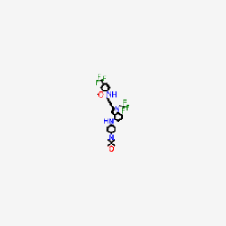 COc1cc(C(F)(F)F)ccc1NCC#Cc1cc2c(NC3CCC(N4CC5(COC5)C4)CC3)cccc2n1CC(F)(F)F